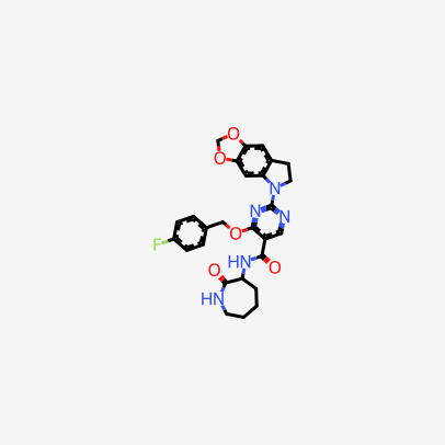 O=C(NC1CCCCNC1=O)c1cnc(N2CCc3cc4c(cc32)OCO4)nc1OCc1ccc(F)cc1